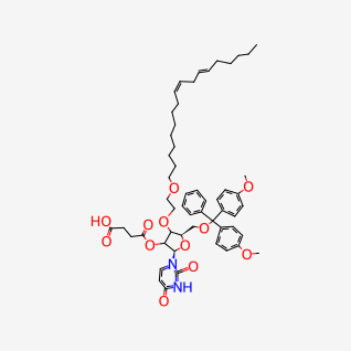 CCCCCC=CC/C=C\CCCCCCCCOCCOC1C(OC(=O)CCC(=O)O)[C@H](n2ccc(=O)[nH]c2=O)O[C@@H]1COC(c1ccccc1)(c1ccc(OC)cc1)c1ccc(OC)cc1